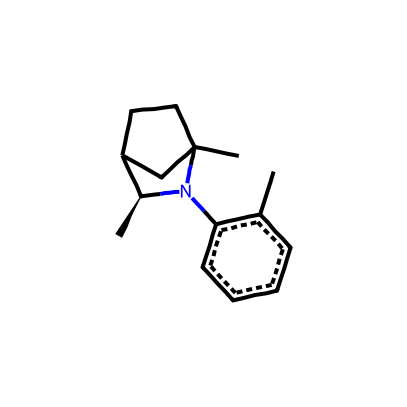 Cc1ccccc1N1[C@@H](C)C2CCC1(C)C2